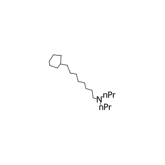 CCCN(CCC)CCCCCCCCC1CCCCC1